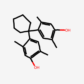 Cc1cc(C2(c3cc(C)c(O)cc3C)CCCCC2)c(C)cc1O